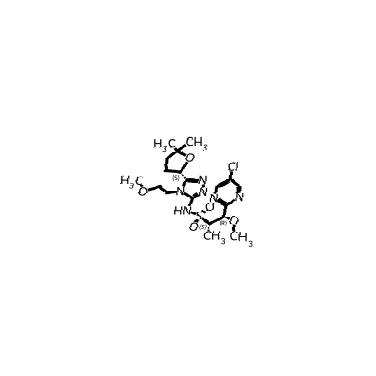 COCCn1c(NS(=O)(=O)[C@@H](C)[C@H](OC)c2ncc(Cl)cn2)nnc1[C@@H]1CCC(C)(C)O1